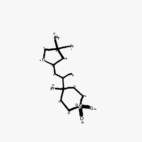 CC(C)C1(C(C)C)COC(CC(C)C2(C(C)C)CCS(=O)(=O)CC2)C1